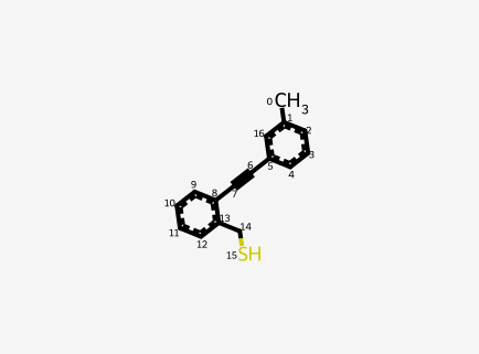 Cc1cccc(C#Cc2ccccc2CS)c1